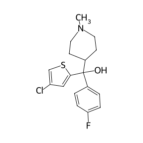 CN1CCC(C(O)(c2ccc(F)cc2)c2cc(Cl)cs2)CC1